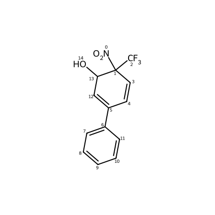 O=[N+]([O-])C1(C(F)(F)F)C=CC(c2ccccc2)=CC1O